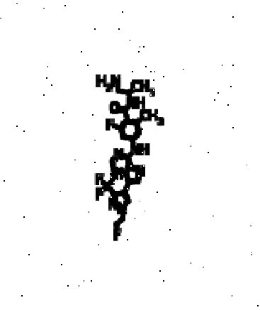 Cc1cc(Nc2nccn3c(-c4cn(CCF)nc4C(F)(F)F)cnc23)cc(F)c1C(=O)NC(C)CN